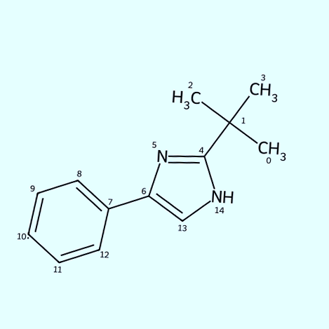 CC(C)(C)c1nc(-c2cc[c]cc2)c[nH]1